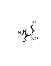 NC(=O)N(CCF)N=O